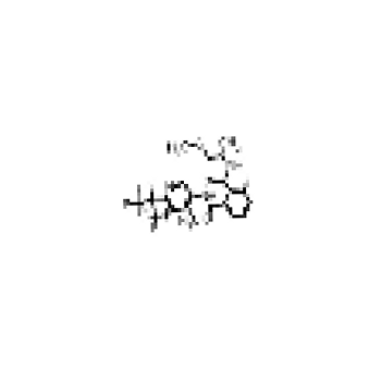 CSCC(C)NC(=O)c1c(I)cccc1C(=O)Nc1cnc(C(F)(C(F)(F)F)C(F)(F)F)cc1C